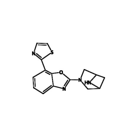 c1cc(-c2nccs2)c2oc(N3CC4CC(C3)N4)nc2c1